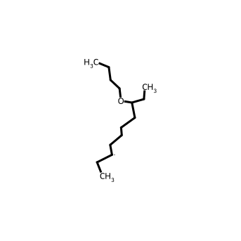 CC[CH]CCCCC(CC)OCCCC